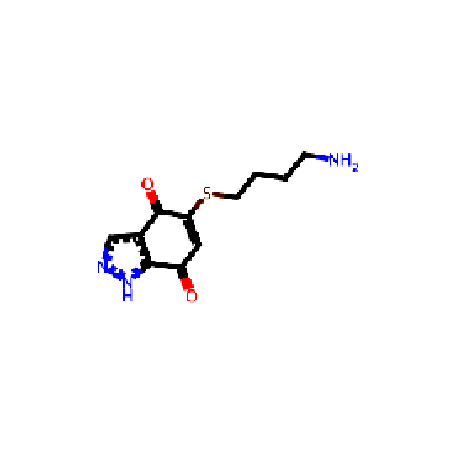 NCCCCSC1=CC(=O)c2[nH]ncc2C1=O